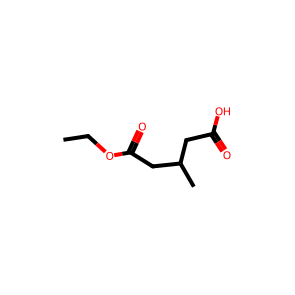 CCOC(=O)CC(C)CC(=O)O